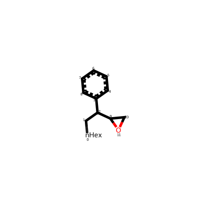 CCCCCCC[C](c1ccccc1)C1CO1